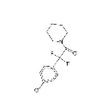 O=C(N1CC[CH]CC1)C(F)(F)c1ccc(Cl)cc1